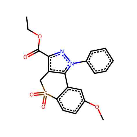 CCOC(=O)c1nn(-c2ccccc2)c2c1CS(=O)(=O)c1ccc(OC)cc1-2